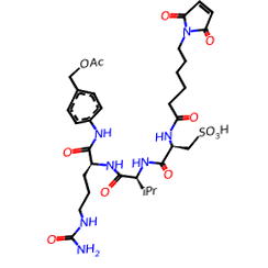 CC(=O)OCc1ccc(NC(=O)[C@H](CCCNC(N)=O)NC(=O)[C@@H](NC(=O)[C@H](CS(=O)(=O)O)NC(=O)CCCCCN2C(=O)C=CC2=O)C(C)C)cc1